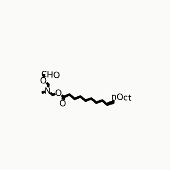 CCCCCCCC/C=C\CCCCCCCC(=O)OCN(C)COC=O